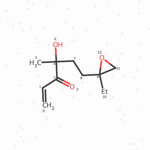 C=CC(=O)C(C)(O)CCC1(CC)CO1